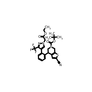 CCOC(=O)Cn1cc(-c2ccccc2C2CN(C(=O)OC(C)(C)C)Cc3sc(C#N)cc32)c(C(F)(F)F)n1